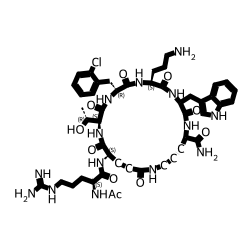 CC(=O)N[C@@H](CCCNC(=N)N)C(=O)N[C@H]1CCC(=O)NCCCC(C(N)=O)NC(=O)C(Cc2c[nH]c3ccccc23)NC(=O)[C@H](CCCN)NC(=O)[C@@H](Cc2ccccc2Cl)NC(=O)[C@H]([C@@H](C)O)NC1=O